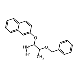 CC(C)NC(Oc1ccc2ccccc2c1)C(C)OCc1ccccc1